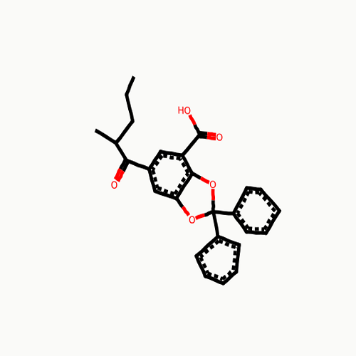 CCCC(C)C(=O)c1cc2c(c(C(=O)O)c1)OC(c1ccccc1)(c1ccccc1)O2